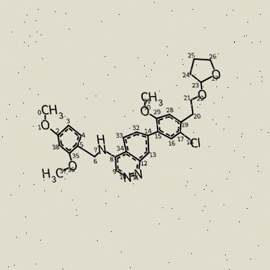 COc1ccc(CNc2cnnc3cc(-c4cc(Cl)c(CCOC5CCCO5)cc4OC)ccc23)c(OC)c1